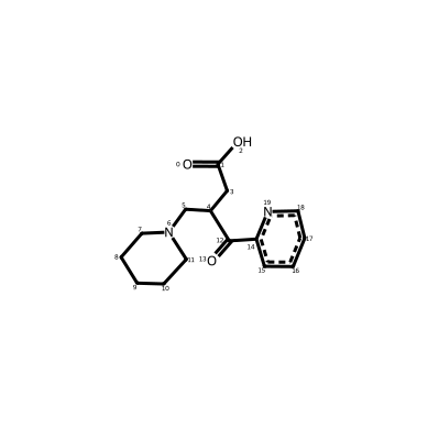 O=C(O)CC(CN1CCCCC1)C(=O)c1ccccn1